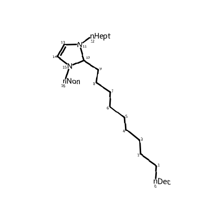 CCCCCCCCCCCCCCCCCCCC1N(CCCCCCC)C=CN1CCCCCCCCC